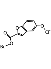 CC(C)(C)OC(=O)c1cc2cc(OC(F)(F)F)ccc2o1